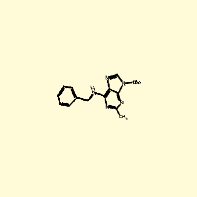 Cc1nc(NCc2ccccc2)c2ncn(C(C)(C)C)c2n1